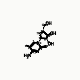 C=C1N=C(N)C(C)=CN1[C@@H]1S[C@H](CO)C(O)[C@@H]1O